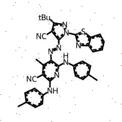 Cc1ccc(Nc2nc(Nc3ccc(C)cc3)c(N=Nc3c(C#N)c(C(C)(C)C)nn3-c3nc4ccccc4s3)c(C)c2C#N)cc1